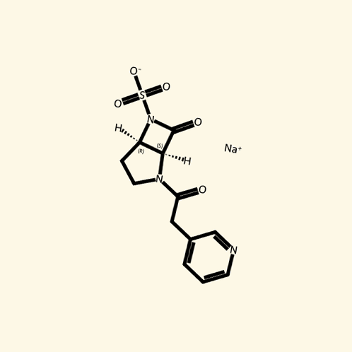 O=C(Cc1cccnc1)N1CC[C@@H]2[C@H]1C(=O)N2S(=O)(=O)[O-].[Na+]